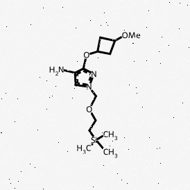 COC1CC(Oc2nn(COCC[Si](C)(C)C)cc2N)C1